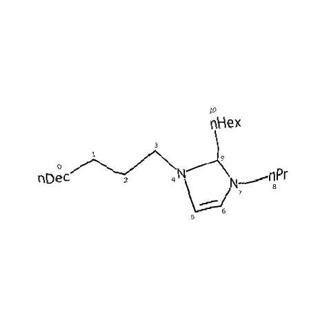 CCCCCCCCCCCCCN1C=CN(CCC)C1CCCCCC